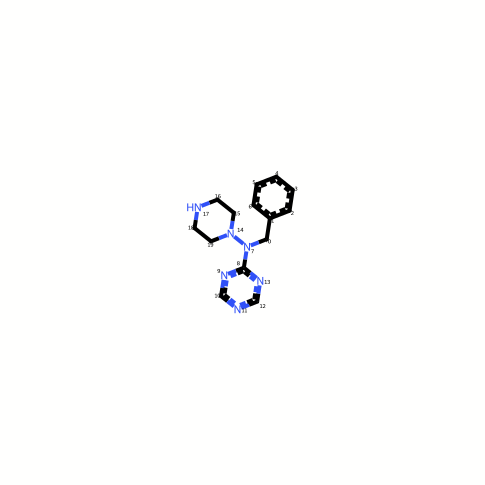 [CH](c1ccccc1)N(c1ncncn1)N1CCNCC1